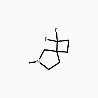 CN1CCC2(CCC2(F)F)C1